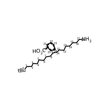 CC(C)(C)CCCCCCCCCCCCCCCCCN.O=C(O)c1ccccc1